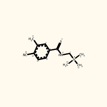 Cc1cc(C(=S)NC[Si](C)(C)C)ccc1C#N